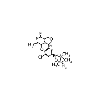 C=CC(=O)N1C(C(F)F)COC[C@H]1c1cc(Cl)cc(B2OC(C)(C)C(C)(C)O2)c1